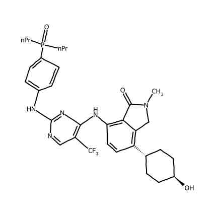 CCCP(=O)(CCC)c1ccc(Nc2ncc(C(F)(F)F)c(Nc3ccc([C@H]4CC[C@H](O)CC4)c4c3C(=O)N(C)C4)n2)cc1